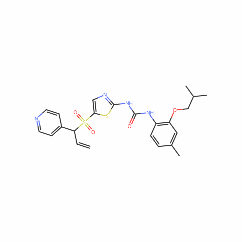 C=CC(c1ccncc1)S(=O)(=O)c1cnc(NC(=O)Nc2ccc(C)cc2OCC(C)C)s1